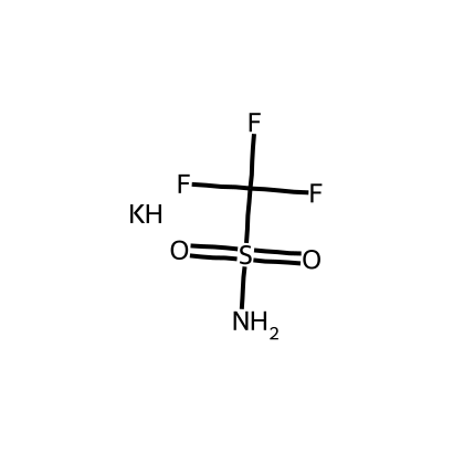 NS(=O)(=O)C(F)(F)F.[KH]